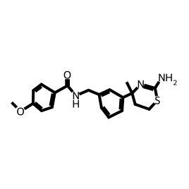 COc1ccc(C(=O)NCc2cccc(C3(C)CCSC(N)=N3)c2)cc1